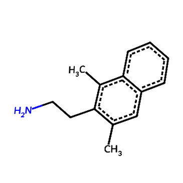 Cc1cc2ccccc2c(C)c1CCN